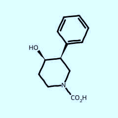 O=C(O)N1CC[C@@H](O)[C@@H](c2ccccc2)C1